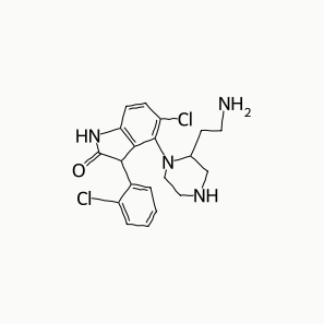 NCCC1CNCCN1c1c(Cl)ccc2c1C(c1ccccc1Cl)C(=O)N2